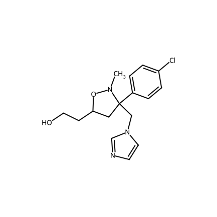 CN1OC(CCO)CC1(Cn1ccnc1)c1ccc(Cl)cc1